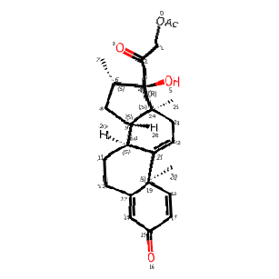 CC(=O)OCC(=O)[C@@]1(O)[C@@H](C)C[C@H]2[C@@H]3CCC4=CC(=O)C=C[C@]4(C)C3=CC[C@@]21C